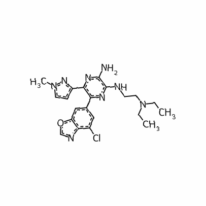 CCN(CC)CCNc1nc(-c2cc(Cl)c3ncoc3c2)c(-c2ccn(C)n2)nc1N